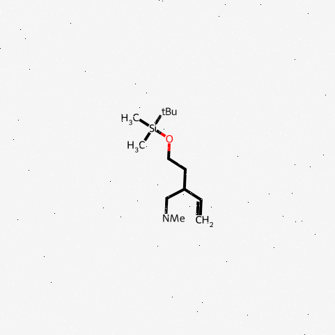 C=CC(CCO[Si](C)(C)C(C)(C)C)CNC